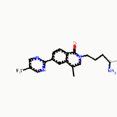 Cc1cn(CCC[C@H](C)N)c(=O)c2ccc(-c3ncc(C(F)(F)F)cn3)cc12